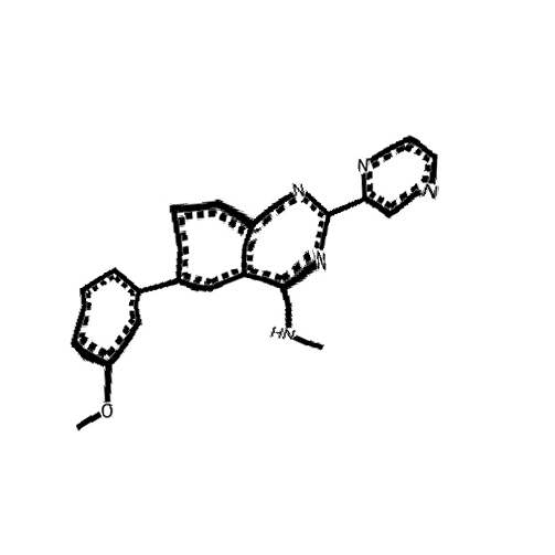 CNc1nc(-c2cnccn2)nc2ccc(-c3cccc(OC)c3)cc12